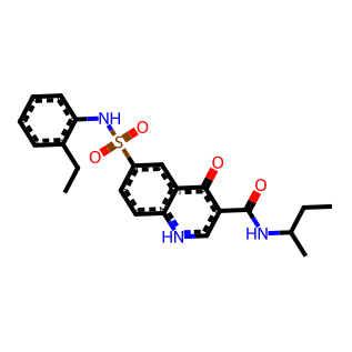 CCc1ccccc1NS(=O)(=O)c1ccc2[nH]cc(C(=O)NC(C)CC)c(=O)c2c1